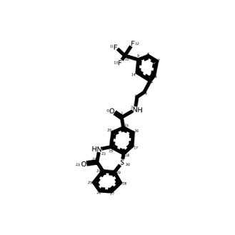 O=C(NCCc1cccc(C(F)(F)F)c1)c1ccc2c(c1)NC(=O)c1ccccc1S2